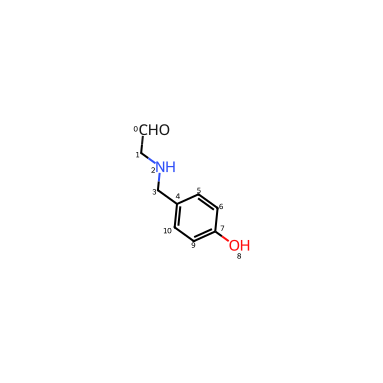 O=CCNCc1ccc(O)cc1